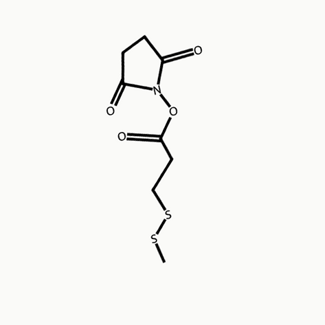 CSSCCC(=O)ON1C(=O)CCC1=O